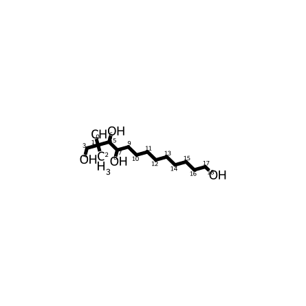 CC(C)(CO)C(O)C(O)CCCCCCCCCO